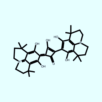 CC1(C)CCN2CCC(C)(C)c3c(O)c(C4=C(O)C(=c5c(O)c6c7c(c5O)C(C)(C)CC[N+]=7CCC6(C)C)C4=O)c(O)c1c32